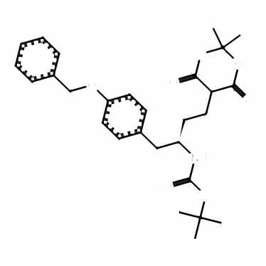 CC(C)(C)OC(=O)N[C@H](CCC1C(=O)OC(C)(C)OC1=O)Cc1ccc(OCc2ccccc2)cc1